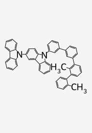 Cc1ccccc1-c1cccc(-c2cccc(-c3cccc(-n4c5ccccc5c5cc(-n6c7ccccc7c7ccccc76)ccc54)c3)c2)c1C